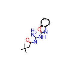 CC(C)(C)CC(=O)/N=C(\N)Nc1nc2ccccc2o1